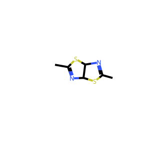 CC1=NC2SC(C)=NC2S1